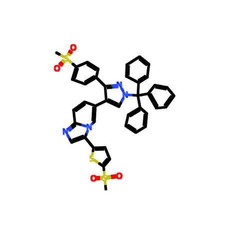 CS(=O)(=O)c1ccc(-c2nn(C(c3ccccc3)(c3ccccc3)c3ccccc3)cc2-c2ccc3ncc(-c4ccc(S(C)(=O)=O)s4)n3c2)cc1